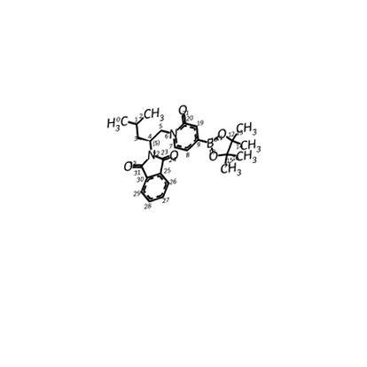 CC(C)C[C@@H](Cn1ccc(B2OC(C)(C)C(C)(C)O2)cc1=O)N1C(=O)c2ccccc2C1=O